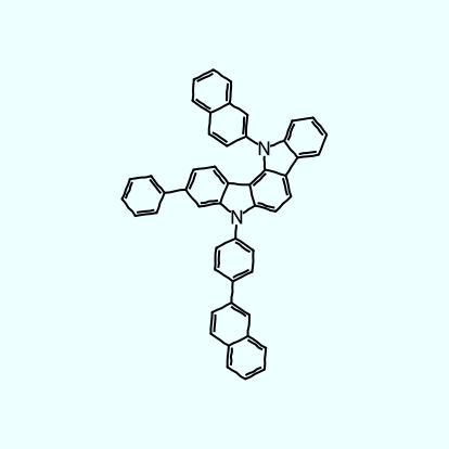 c1ccc(-c2ccc3c4c(ccc5c6ccccc6n(-c6ccc7ccccc7c6)c54)n(-c4ccc(-c5ccc6ccccc6c5)cc4)c3c2)cc1